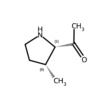 CC(=O)[C@H]1NCC[C@H]1C